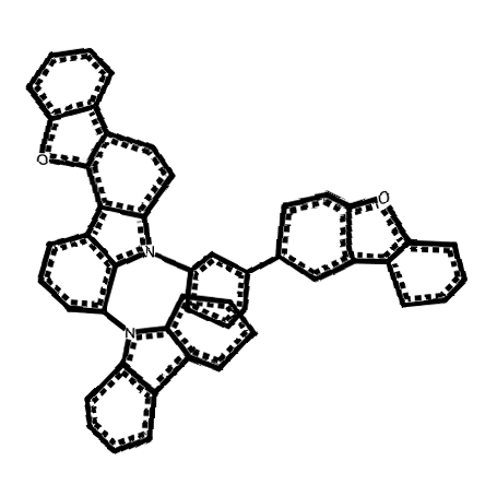 c1cc(-c2ccc3oc4ccccc4c3c2)cc(-n2c3ccc4c5ccccc5oc4c3c3cccc(-n4c5ccccc5c5ccccc54)c32)c1